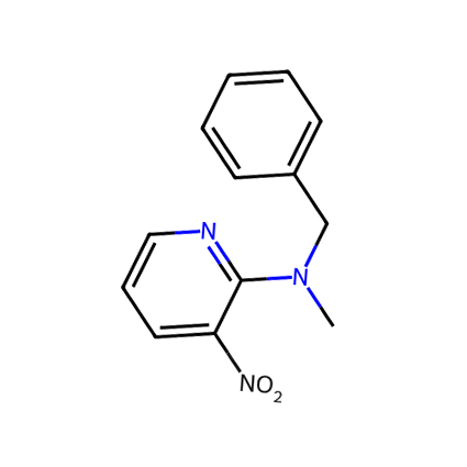 CN(Cc1ccccc1)c1ncccc1[N+](=O)[O-]